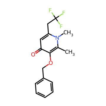 Cc1c(OCc2ccccc2)c(=O)cc(CC(F)(F)F)n1C